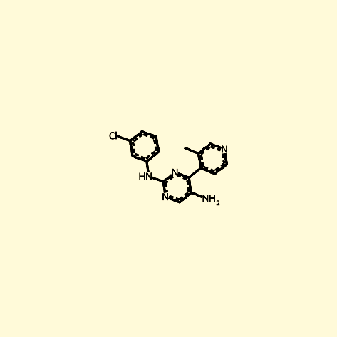 Cc1cnccc1-c1nc(Nc2cccc(Cl)c2)ncc1N